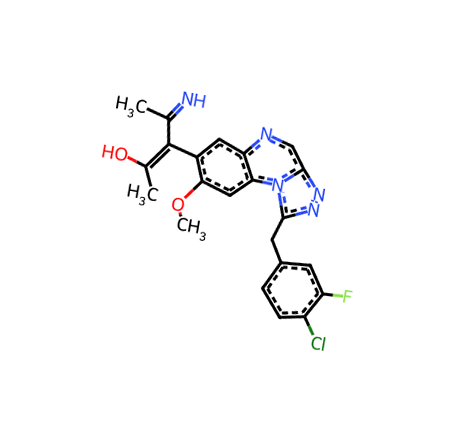 COc1cc2c(cc1/C(C(C)=N)=C(\C)O)ncc1nnc(Cc3ccc(Cl)c(F)c3)n12